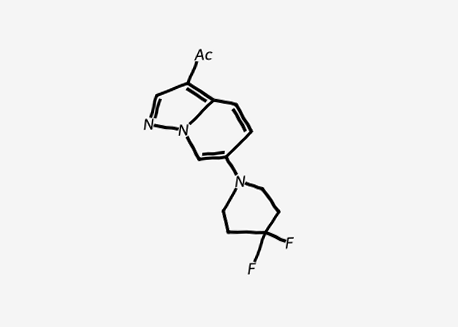 CC(=O)c1cnn2cc(N3CCC(F)(F)CC3)ccc12